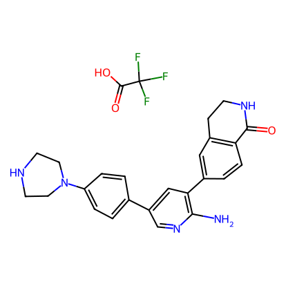 Nc1ncc(-c2ccc(N3CCNCC3)cc2)cc1-c1ccc2c(c1)CCNC2=O.O=C(O)C(F)(F)F